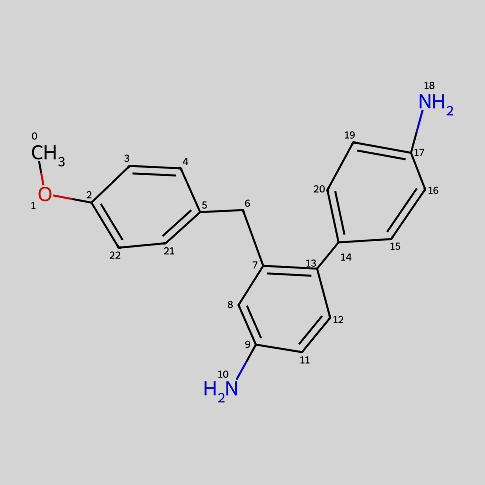 COc1ccc(Cc2cc(N)ccc2-c2ccc(N)cc2)cc1